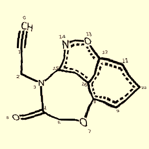 C#CCN1C(=O)COc2cccc3onc1c23